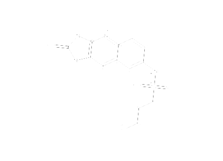 O=c1[nH]c2cc3cc(NS(=O)(=O)CCCO)ccc3nc2[nH]1